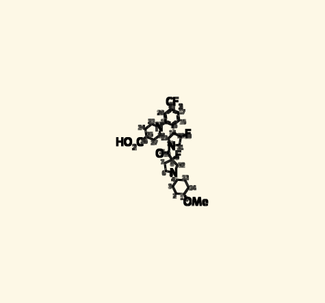 CO[C@H]1CC[C@H](N2CC[C@](F)(C(=O)N3C[C@H](c4ccc(C(F)(F)F)cc4N4CCC(C(=O)O)CC4)[C@@H](F)C3)C2)CC1